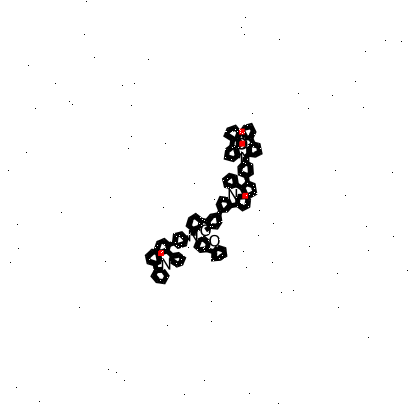 C1=Cc2c(n(-c3ccccc3-c3ccccc3-c3ccc(N(c4ccc5c(c4)oc4ccccc45)c4cccc5c4oc4ccc(-c6ccc7c(c6)c6ccccc6n7-c6ccccc6-c6ccccc6-c6ccc(N(c7cccc8c7oc7ccccc78)c7cccc8c7oc7ccccc78)cc6)cc45)cc3)c3ccccc23)CC1